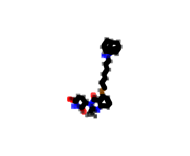 Cc1nc2cccc(SCCCCCCCNC34CC5CC(CC(C5)C3)C4)c2c(=O)n1C1CCC(=O)NC1=O